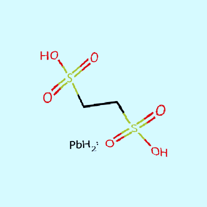 O=S(=O)(O)CCS(=O)(=O)O.[PbH2]